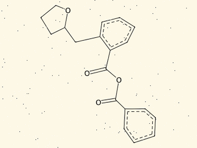 O=C(OC(=O)c1ccccc1CC1CCCO1)c1ccccc1